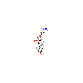 C[C@]12C=CC(O)C=C1CCC1C2=CC[C@@]2(C)C1CC[C@]2(O)C(=O)COCCCC(N)=O